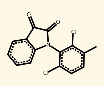 Cc1ccc(Cl)c(N2C(=O)C(=O)c3ccccc32)c1Cl